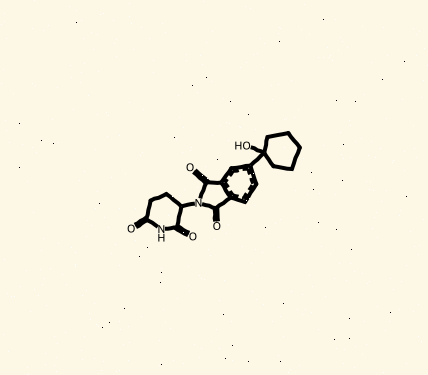 O=C1CCC(N2C(=O)c3ccc(C4(O)CCCCC4)cc3C2=O)C(=O)N1